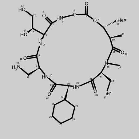 CCCCCC[C@H]1OC(=O)CNC(=O)[C@H]([C@@H](O)CO)NC(=O)[C@H](CN)NC(=O)[C@H](C2CCCCC2)NC(=O)[C@H](CC(C)C)N(C)C(=O)[C@@H]1C